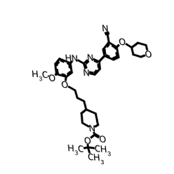 COc1ccc(Nc2nccc(-c3ccc(OC4CCOCC4)c(C#N)c3)n2)cc1OCCCC1CCN(C(=O)OC(C)(C)C)CC1